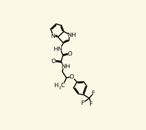 CC(CNC(=O)C(=O)Nc1c[nH]c2cccnc12)Oc1ccc(C(F)(F)F)cc1